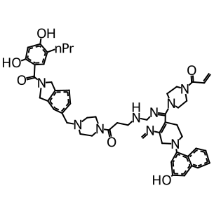 C=CC(=O)N1CCN(/C(=N/CNCCC(=O)N2CCN(Cc3ccc4c(c3)CN(C(=O)c3cc(CCC)c(O)cc3O)C4)CC2)C2=C(N=C)CN(c3cc(O)cc4ccccc34)CC2)CC1